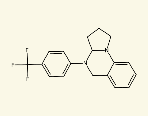 FC(F)(F)c1ccc(N2Cc3ccccc3N3CCCC23)cc1